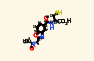 CC(C)(C)/[N+]([O-])=C\c1nc2cc(C(=O)NC(CS)C(=O)O)ccc2o1